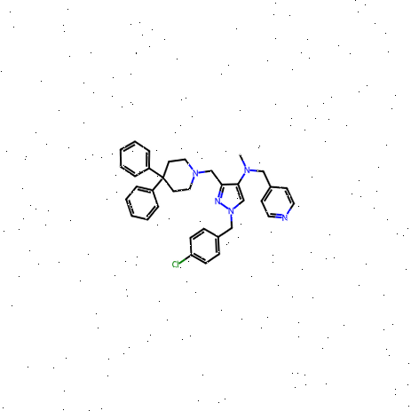 CN(Cc1ccncc1)c1cn(Cc2ccc(Cl)cc2)nc1CN1CCC(c2ccccc2)(c2ccccc2)CC1